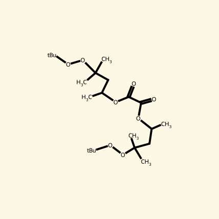 CC(CC(C)(C)OOC(C)(C)C)OC(=O)C(=O)OC(C)CC(C)(C)OOC(C)(C)C